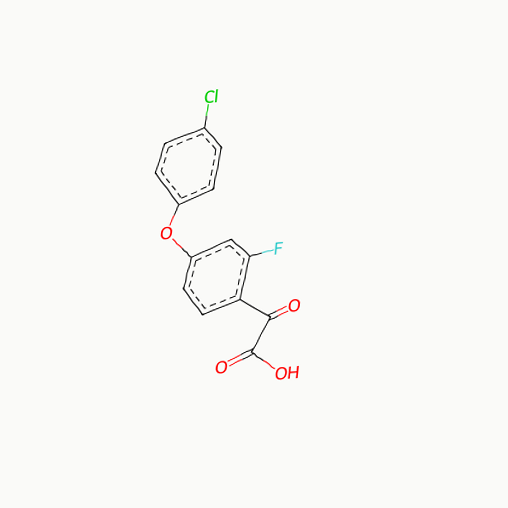 O=C(O)C(=O)c1ccc(Oc2ccc(Cl)cc2)cc1F